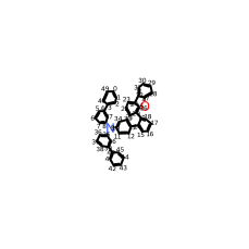 c1ccc(-c2cccc(N(c3ccc(-c4ccccc4-c4cccc5c4oc4ccccc45)cc3)c3cccc(-c4ccccc4)c3)c2)cc1